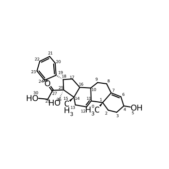 C[C@]12CCC(O)C=C1CCC1C2=CC[C@@]2(C)C1C[C@@H](c1ccccc1)[C@]2(O)C(=O)CO